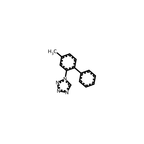 Cc1ccc(-c2ccccc2)c(-n2cnnn2)c1